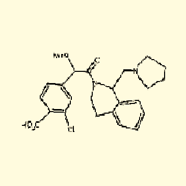 COC(C(=O)N1CCc2ccccc2C1CN1CCCC1)c1ccc(C(=O)O)c(Cl)c1